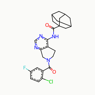 O=C(c1cc(F)ccc1Cl)N1CCc2c(ncnc2NC(=O)C23CC4CC(CC(C4)C2)C3)C1